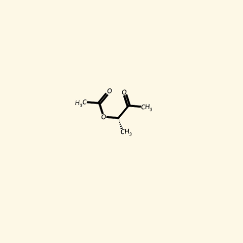 CC(=O)O[C@@H](C)C(C)=O